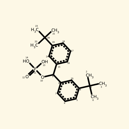 CC(C)(C)c1cccc(C(OP(=O)(O)O)c2cccc(C(C)(C)C)c2)c1